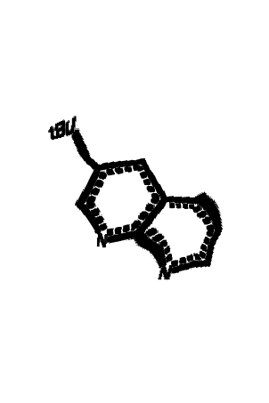 CC(C)(C)c1cnc2ncccc2c1